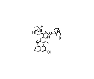 Oc1cc(-c2c(Cl)cc3c(N4CC[C@H]5CC[C@@H](C4)N5)nc(OC[C@@]45CCCN4C[C@H](F)C5)nc3c2F)c2c(F)cccc2c1